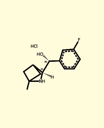 CC12CC(C1)[C@@H]([C@H](O)c1cccc(F)c1)N2.Cl